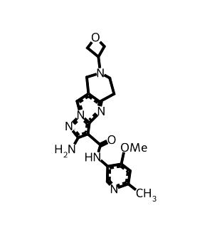 COc1cc(C)ncc1NC(=O)c1c(N)nn2cc3c(nc12)CCN(C1COC1)C3